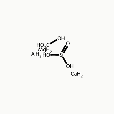 O=C(O)O.O=[Si](O)O.[AlH3].[CaH2].[MgH2]